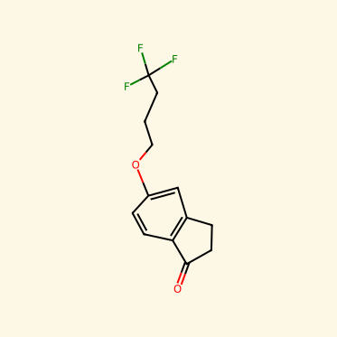 O=C1CCc2cc(OCCCC(F)(F)F)ccc21